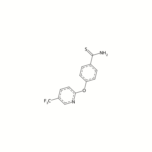 NC(=S)c1ccc(Oc2ccc(C(F)(F)F)cn2)cc1